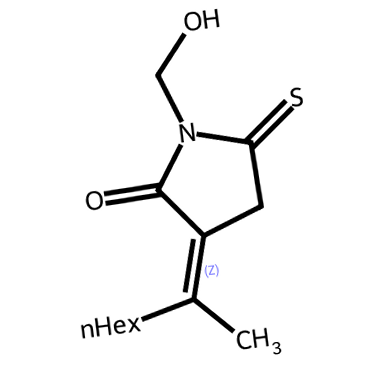 CCCCCC/C(C)=C1/CC(=S)N(CO)C1=O